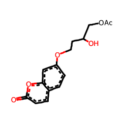 CC(=O)OCC(O)CCOc1ccc2ccc(=O)oc2c1